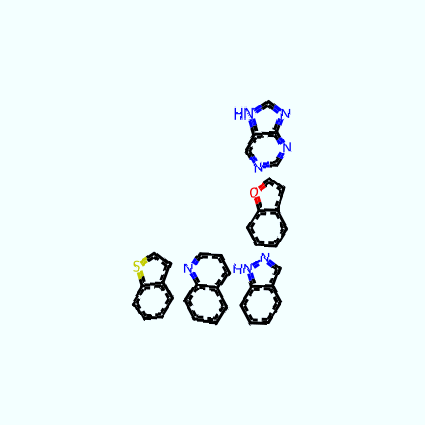 c1ccc2[nH]ncc2c1.c1ccc2ncccc2c1.c1ccc2occc2c1.c1ccc2sccc2c1.c1ncc2[nH]cnc2n1